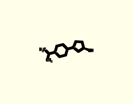 CC(C)N1CCC(N2CC[C@@H](O)C2)CC1